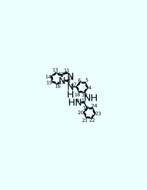 N=C(Nc1cccc(Nc2ncc3ccccn23)c1)c1ccccc1